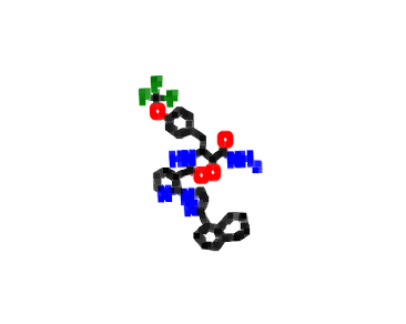 NC(=O)C(=O)C(Cc1ccc(OC(F)(F)F)cc1)NC(=O)c1cccnc1-n1ccc(-c2cccc3ccccc23)n1